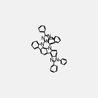 c1ccc(-c2nc(-c3ccccc3)nc(-n3c4ccccc4c4ccc5c6c7nc(-c8ccccc8)n(-c8ccccc8)c7ccc6n(-c6ccccc6)c5c43)n2)cc1